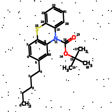 CCCCCc1ccc2c(c1)N(C(=O)OC(C)(C)C)c1ccccc1S2